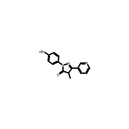 CCCCc1ccc(N2N=C(c3cccnc3)C(C)C2=O)cc1